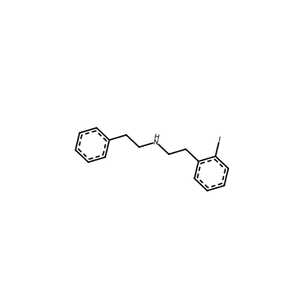 Ic1ccccc1CCNCCc1ccccc1